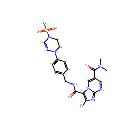 CCc1nc2ncc(C(=O)N(C)C)cn2c1C(=O)NCc1ccc(N2CCN(S(=O)(=O)C(F)(F)F)C=N2)cc1